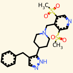 CS(=O)(=O)c1cncc(S(C)(=O)=O)c1CN1CCC(c2[nH]ncc2Cc2ccccc2)CC1